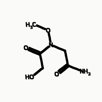 CON(CC(N)=O)C(=O)CO